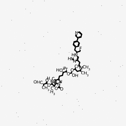 CC[C@H](OC(=O)[C@H](C)C=O)[C@@]1(C)OC(=O)N2N=C(CC[C@@H](O)C(O[C@@H](O)OC(C)CC(C)N(C)CC/C(=C/NC(CF)Cc3ccc(-c4cccnc4)cc3)N=N)C(C)C)C(C)[C@@H]21